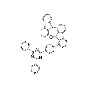 O=C1c2c(-c3ccc(-c4nc(-c5ccccc5)nc(-c5ccccc5)n4)cc3)cccc2-c2cccc(-n3c4ccccc4c4ccccc43)c21